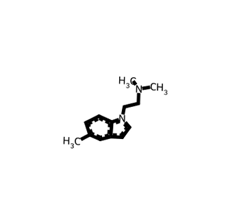 Cc1ccc2c(ccn2CCN(C)C)c1